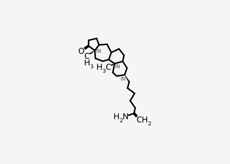 C=C(N)CCCCC[C@H]1CC[C@@]2(C)C(CCC3CC4CCC(=O)[C@@]4(C)CCC32)C1